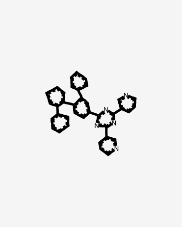 c1ccc(-c2ccccc2-c2ccc(-c3nc(-c4cccnc4)nc(-c4cccnc4)n3)cc2-c2ccccc2)cc1